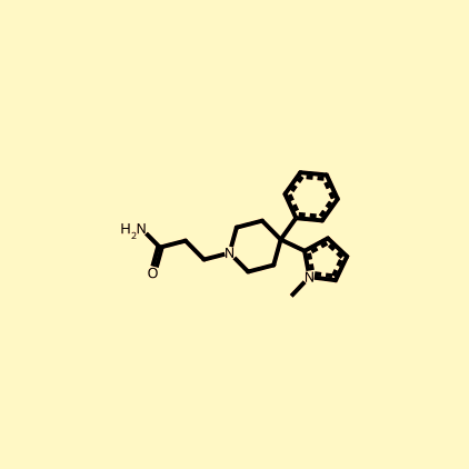 Cn1cccc1C1(c2ccccc2)CCN(CCC(N)=O)CC1